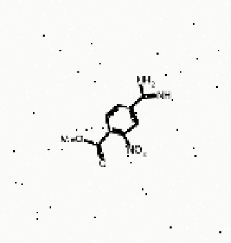 COC(=O)c1ccc(C(=N)N)cc1[N+](=O)[O-]